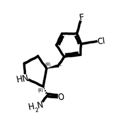 NC(=O)[C@@H]1NCC[C@H]1[CH]c1ccc(F)c(Cl)c1